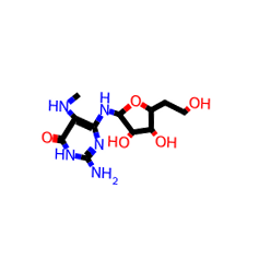 CNc1c(NC2OC(CCO)C(O)C2O)nc(N)[nH]c1=O